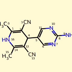 CC1=C(C#N)C(c2cnc(N)nc2)C(C#N)=C(C)N1